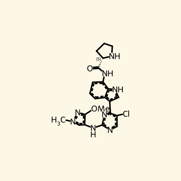 COc1nn(C)cc1Nc1ncc(Cl)c(-c2c[nH]c3c(NC(=O)[C@@H]4CCCN4)cccc23)n1